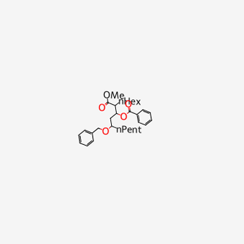 CCCCCCC(C(=O)OC)C(CC(CCCCC)OCc1ccccc1)OC(=O)c1ccccc1